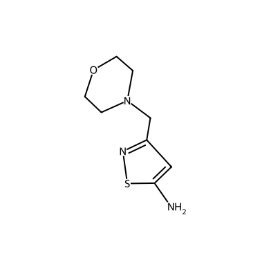 Nc1cc(CN2CCOCC2)ns1